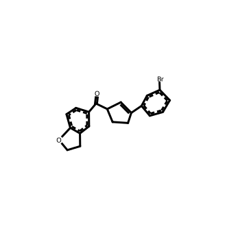 O=C(c1ccc2c(c1)CCO2)C1C=C(c2cccc(Br)c2)CC1